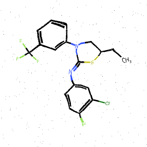 CCC1CN(c2cccc(C(F)(F)F)c2)C(=Nc2ccc(F)c(Cl)c2)S1